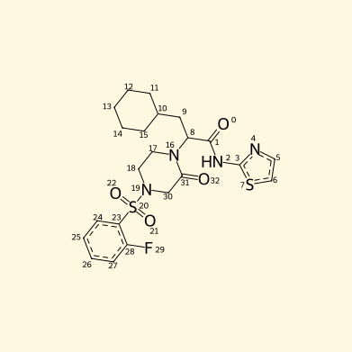 O=C(Nc1nccs1)C(CC1CCCCC1)N1CCN(S(=O)(=O)c2ccccc2F)CC1=O